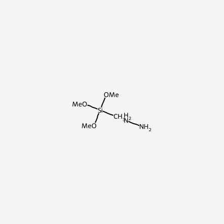 CO[Si](C)(OC)OC.NN